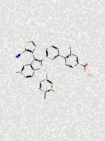 COC(=O)c1ccc(-c2cccc(-c3c(-c4ccsc4C#N)c4cc(F)ccc4n3Sc3ccc(C)c(F)c3)c2)c(C)c1